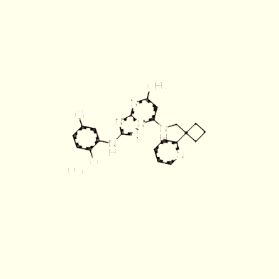 COc1ccc(Cl)cc1Nc1nc2nc(C)cc(NCC3(c4ccccn4)CCC3)n2n1